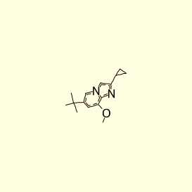 COc1cc(C(C)(C)C)cn2cc(C3CC3)nc12